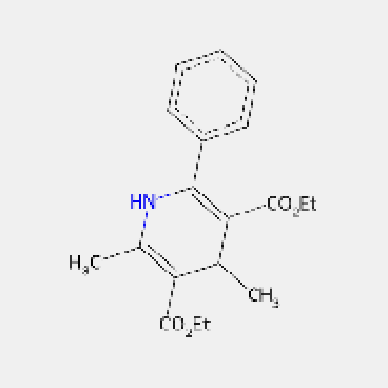 CCOC(=O)C1=C(C)NC(c2ccccc2)=C(C(=O)OCC)C1C